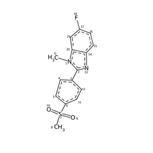 Cn1c(-c2ccc(S(C)(=O)=O)cc2)nc2ccc(F)cc21